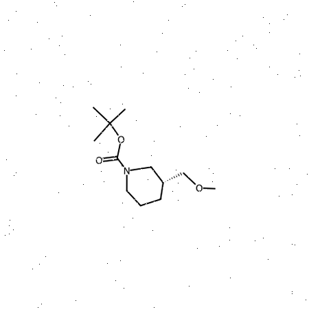 COC[C@@H]1CCCN(C(=O)OC(C)(C)C)C1